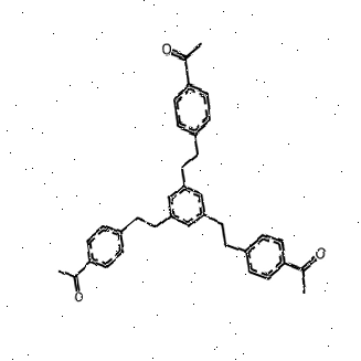 CC(=O)c1ccc(CCc2cc(CCc3ccc(C(C)=O)cc3)cc(CCc3ccc(C(C)=O)cc3)c2)cc1